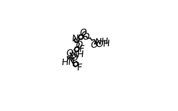 COc1cc2nccc(Oc3ccc(NC(=O)C4(C(=O)Nc5ccc(F)cc5)CC4)cc3F)c2cc1OCCCCC(=O)NO